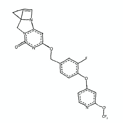 O=c1nc(OCc2ccc(Oc3ccnc(OC(F)(F)F)c3)c(F)c2)cc2n1CC13CC1=CN23